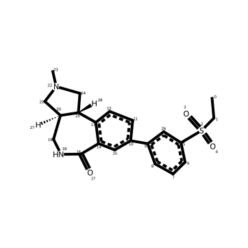 CCS(=O)(=O)c1cccc(-c2ccc3c(c2)C(=O)NC[C@H]2CN(C)C[C@H]32)c1